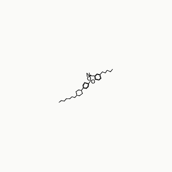 CCCCCCCC1CCC(c2ccc(C(=O)Oc3ccc(CCCCC)cc3C#N)cc2)CC1